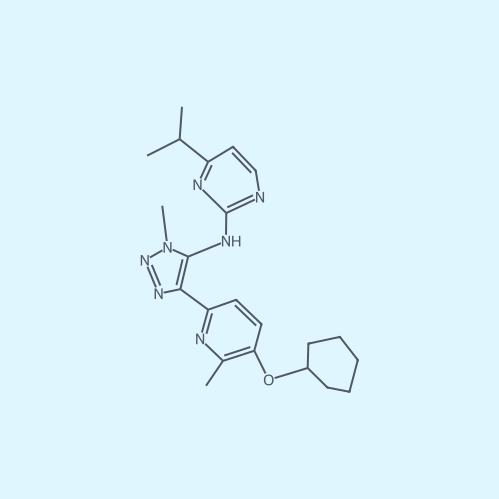 Cc1nc(-c2nnn(C)c2Nc2nccc(C(C)C)n2)ccc1OC1CCCCC1